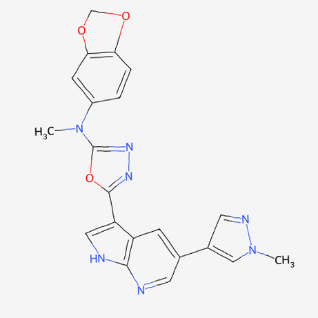 CN(c1ccc2c(c1)OCO2)c1nnc(-c2c[nH]c3ncc(-c4cnn(C)c4)cc23)o1